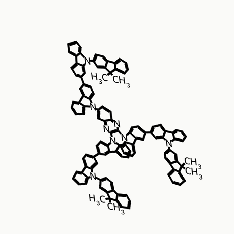 CC1(C)c2ccccc2-c2ccc(-n3c4ccccc4c4ccc(-c5ccc6c(c5)c5ccccc5n6-c5ccc6nc(-n7c8ccccc8c8cc(-c9ccc%10c%11ccccc%11n(-c%11ccc%12c(c%11)C(C)(C)c%11ccccc%11-%12)c%10c9)ccc87)c(-n7c8ccccc8c8cc(-c9ccc%10c%11ccccc%11n(-c%11ccc%12c(c%11)C(C)(C)c%11ccccc%11-%12)c%10c9)ccc87)nc6c5)cc43)cc21